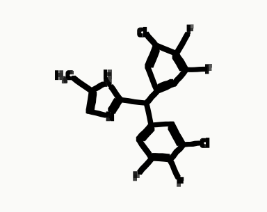 Cc1cnc(C(c2cc(F)c(F)c(Cl)c2)c2cc(F)c(F)c(Cl)c2)[nH]1